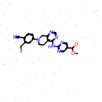 COC(=O)c1cnc(Nc2ncnc3c2CCN(c2ccc(C#N)c(CF)c2)C3)nc1